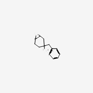 COC1(Cc2ccccc2)CCC2OC2C1